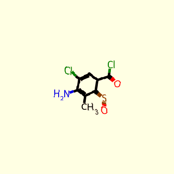 CC1=C(N)C(Cl)=CC(C(=O)Cl)C1=S=O